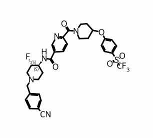 N#Cc1ccc(CN2CC[C@H](NC(=O)c3ccc(C(=O)N4CCC(Oc5ccc(S(=O)(=O)C(F)(F)F)cc5)CC4)nc3)[C@@H](F)C2)cc1